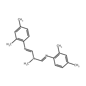 Cc1ccc(N=CN(C)C=Nc2ccc(C)cc2C)c(C)c1